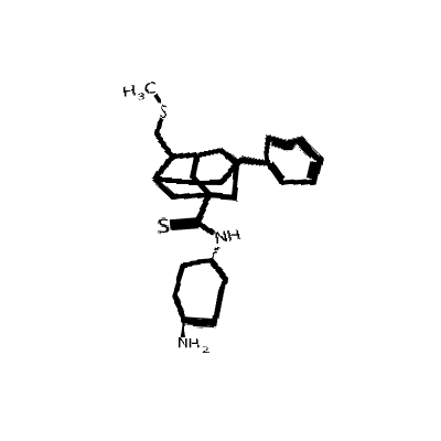 CSCC1C2CC3(C(=S)N[C@H]4CC[C@H](N)CC4)CC1CC(c1ccccc1)(C2)C3